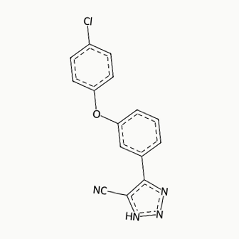 N#Cc1[nH]nnc1-c1cccc(Oc2ccc(Cl)cc2)c1